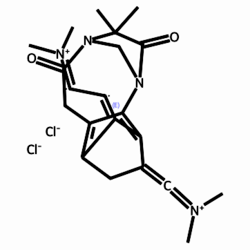 C[N+](C)=[C]/[C]=C1\C2=C3CC(=O)N4CN(C(=O)C4(C)C)C3=C1C(=C=[N+](C)C)C2.[Cl-].[Cl-]